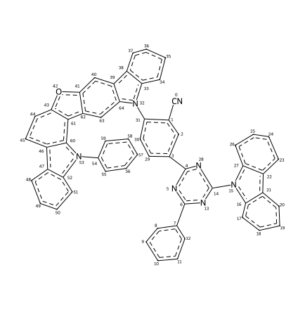 N#Cc1cc(-c2nc(-c3ccccc3)nc(-n3c4ccccc4c4ccccc43)n2)ccc1-n1c2ccccc2c2cc3oc4ccc5c6ccccc6n(-c6ccccc6)c5c4c3cc21